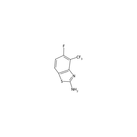 Nc1nc2c(C(F)(F)F)c(F)ccc2s1